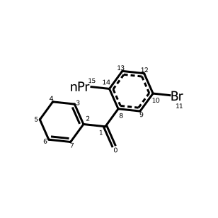 C=C(C1=CCCC=C1)c1cc(Br)ccc1CCC